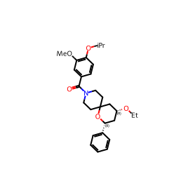 CCO[C@@H]1C[C@H](c2ccccc2)OC2(CCN(C(=O)c3ccc(OC(C)C)c(OC)c3)CC2)C1